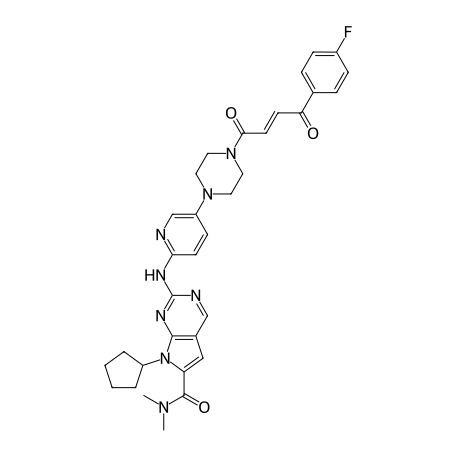 CN(C)C(=O)c1cc2cnc(Nc3ccc(N4CCN(C(=O)/C=C/C(=O)c5ccc(F)cc5)CC4)cn3)nc2n1C1CCCC1